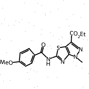 CCOC(=O)c1nn(C)c2nc(NC(=O)c3ccc(OC)cc3)sc12